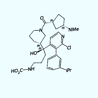 CN[C@H]1CC[C@@H](C(=O)N2CCC[C@@H]([C@@](O)(CCCNC(=O)O)c3ccnc(Cl)c3-c3cccc(C(C)C)c3)C2)C1